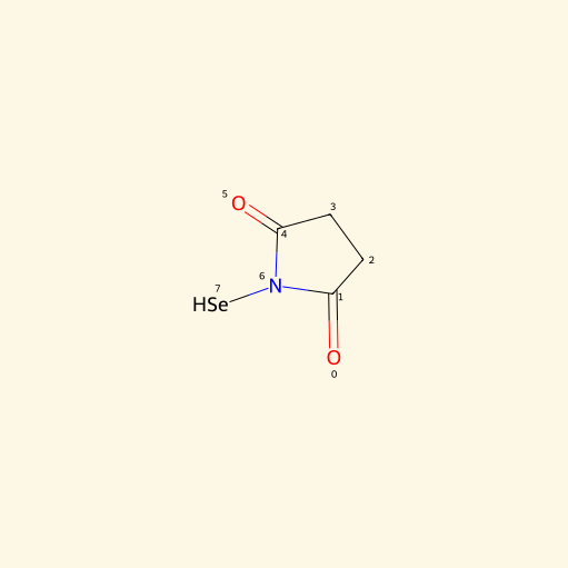 O=C1CCC(=O)N1[SeH]